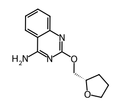 Nc1nc(OC[C@@H]2CCCO2)nc2ccccc12